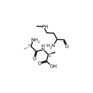 CPCCC(N)C=O.C[C@H](N)C(=O)N[C@@H](C)C(=O)O